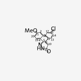 COc1ccc(-c2n[nH]c(=O)cc2-c2ccc(Cl)cc2)cc1